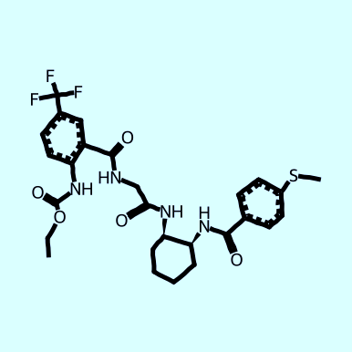 CCOC(=O)Nc1ccc(C(F)(F)F)cc1C(=O)NCC(=O)N[C@@H]1CCCC[C@@H]1NC(=O)c1ccc(SC)cc1